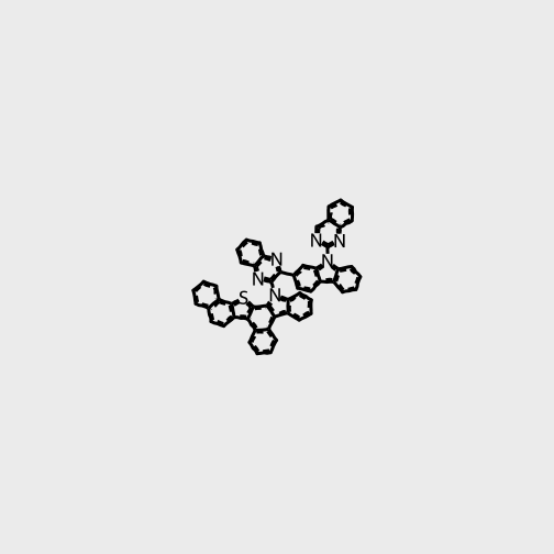 c1ccc2nc(-n3c4ccccc4c4ccc(-c5nc6ccccc6nc5-n5c6ccccc6c6c7ccccc7c7c8ccc9ccccc9c8sc7c65)cc43)ncc2c1